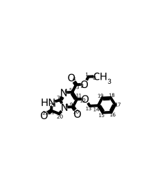 CCOC(=O)c1nc2n(c(=O)c1OCc1ccccc1)CC(=O)N2